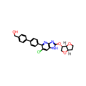 OCc1ccc(-c2ccc(-c3nc4nc(O[C@@H]5CO[C@@H]6CCO[C@@H]65)[nH]c4cc3Cl)cc2)cc1